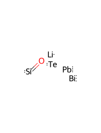 O=[Si].[Bi].[Li].[Pb].[Te]